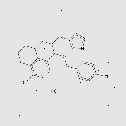 Cl.Clc1ccc(COC2c3ccc(Cl)c4c3C(CCC4)CC2Cn2ccnc2)cc1